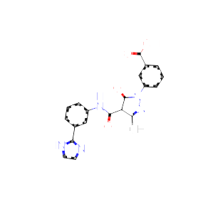 CC1=NN(c2cccc(C(=O)O)c2)C(=O)C1C(=O)Nc1cccc(-c2ncc[nH]2)c1